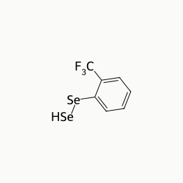 FC(F)(F)c1ccccc1[Se][SeH]